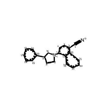 N#Cc1ccc(N2CCC(c3ccccc3)C2)c2ccccc12